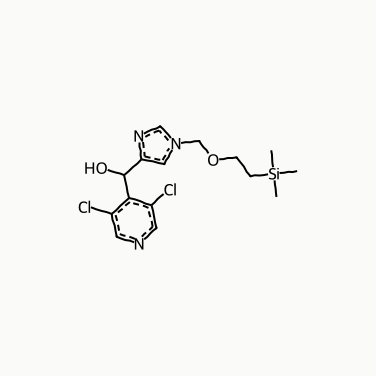 C[Si](C)(C)CCOCn1cnc(C(O)c2c(Cl)cncc2Cl)c1